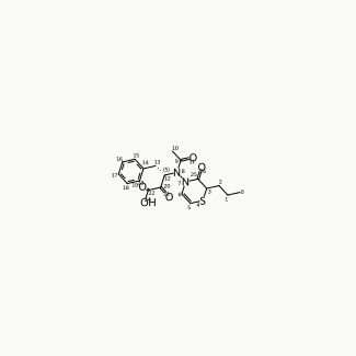 CCCC1SC=CN(N(C(C)=O)[C@@H](Cc2ccccc2)C(=O)C(=O)O)C1=O